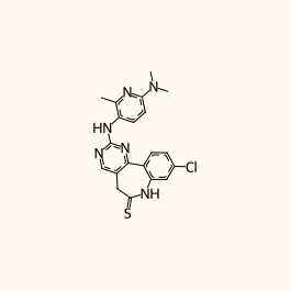 Cc1nc(N(C)C)ccc1Nc1ncc2c(n1)-c1ccc(Cl)cc1NC(=S)C2